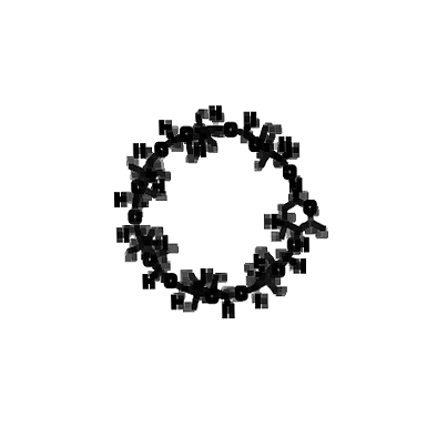 CC1[C@@H]2OC(C)[C@@H](O[C@H]3C[C@@H](C)[C@H](O[C@@H]4OC(C)[C@@H](O[C@@H]5OC(C)[C@@H](O[C@@H]6OC(C)[C@@H](O[C@H]7OC(C)[C@@H](O[C@@H]8OC(C)[C@@H](O2)[C@H](C)C8C)[C@H](C)C7C)[C@H](C)C6C)[C@H](C)C5C)[C@H](C)C4C)C(C)O3)[C@@H]1C